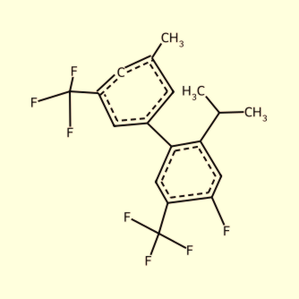 Cc1cc(-c2cc(C(F)(F)F)c(F)cc2C(C)C)cc(C(F)(F)F)c1